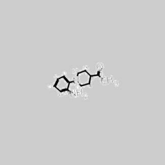 CC(=O)C1CCN(c2ccccc2N)CC1